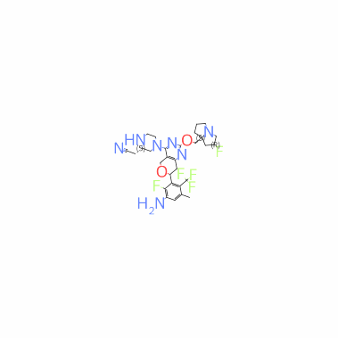 Cc1cc(N)c(F)c(C2Cc3nc(OC[C@@]45CCCN4C[C@H](F)C5)nc(N4CCN[C@@H](CC#N)C4)c3CO2)c1C(F)(F)F